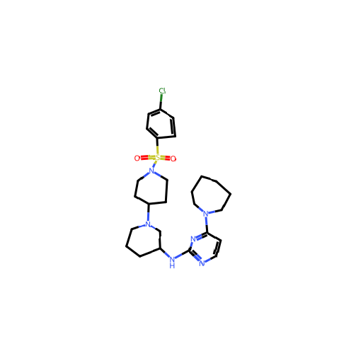 O=S(=O)(c1ccc(Cl)cc1)N1CCC(N2CCCC(Nc3nccc(N4CCCCCC4)n3)C2)CC1